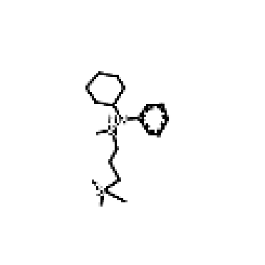 C[SiH](CCC[Si](C)(C)C)N(c1ccccc1)C1CCCCC1